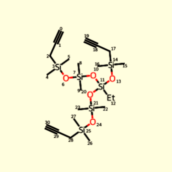 C#CC[Si](C)(C)O[Si](C)(C)O[Si](CC)(O[Si](C)(C)CC#C)O[Si](C)(C)O[Si](C)(C)CC#C